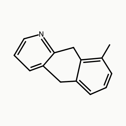 Cc1cccc2c1Cc1ncccc1C2